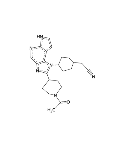 CC(=O)N1CCC(c2nc3cnc4[nH]ccc4c3n2C2CCC(CC#N)CC2)CC1